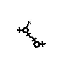 CC(C)(C)c1cccc(C(C)(C)CCC(C)(C)c2cc(C#N)cc(C(C)(C)C)c2)c1